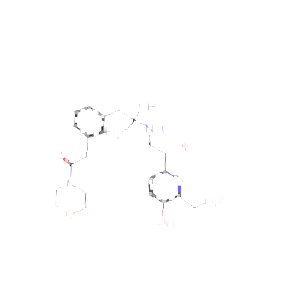 CC(C)(Cc1cccc(CC(=O)N2CCOCC2)c1)NCC(O)c1ccc(O)c(CO)n1